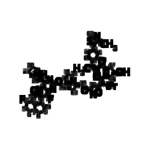 C#Cc1c(F)ccc2cccc(-c3ncc4c(N5CC6CCC(C5)N6)nc(OC[C@]56CCCN5[C@H](COc5cc([C@@H](C(=O)N7C[C@H](O)C[C@H]7C(=O)N[C@@H](C)c7ccc(-c8scnc8C)cc7)C(C)C)on5)CC6)nc4c3F)c12